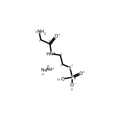 NCC(=O)NCCSP(=O)([O-])[O-].[Na+].[Na+]